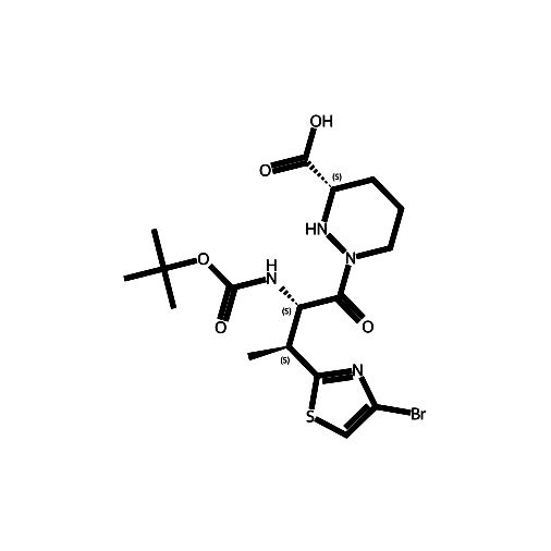 C[C@H](c1nc(Br)cs1)[C@H](NC(=O)OC(C)(C)C)C(=O)N1CCC[C@@H](C(=O)O)N1